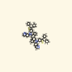 c1ccc(-c2sc3cc(N(c4ccc5cccnc5c4)c4cc5c6ccccc6c(N(c6ccc7cccnc7c6)c6ccc7c(-c8ccccc8)c(-c8ccccc8)sc7c6)cc5c5ccccc45)ccc3c2-c2ccccc2)cc1